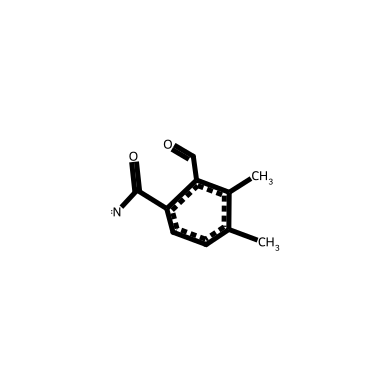 Cc1ccc(C([N])=O)c(C=O)c1C